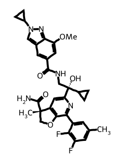 COc1cc(C(=O)NC[C@](O)(c2cc3c(c(-c4cc(C)cc(F)c4F)n2)OC[C@]3(C)C(N)=O)C2CC2)cc2cn(C3CC3)nc12